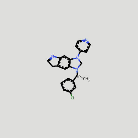 C[C@H](c1cccc(Cl)c1)N1CN(c2ccncc2)c2cc3c(cc21)CC=N3